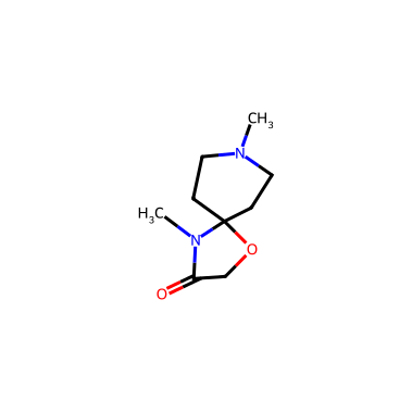 CN1CCC2(CC1)OCC(=O)N2C